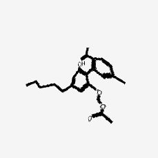 C=C(C)c1ccc(C)cc1-c1c(O)cc(CCCCC)cc1OCOC(C)=O